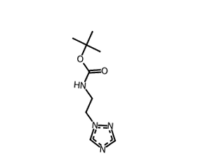 CC(C)(C)OC(=O)NCCn1cncn1